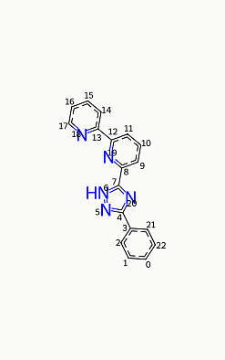 c1ccc(-c2n[nH]c(-c3cccc(-c4ccccn4)n3)n2)cc1